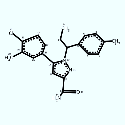 CCC(c1ccc(C)cc1)n1nc(C(N)=O)cc1-c1ccc(Cl)c(C)c1